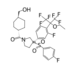 CCOC(c1ccc([C@]2(S(=O)(=O)c3ccc(F)cc3)CCN(C(=O)[C@H]3CC[C@H](CO)CC3)C2)cc1F)(C(F)(F)F)C(F)(F)F